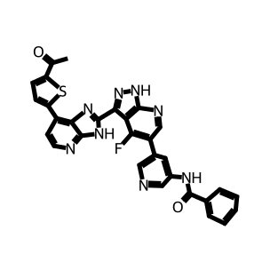 CC(=O)c1ccc(-c2ccnc3[nH]c(-c4n[nH]c5ncc(-c6cncc(NC(=O)c7ccccc7)c6)c(F)c45)nc23)s1